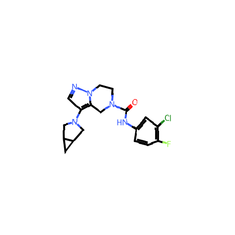 O=C(Nc1ccc(F)c(Cl)c1)N1CCn2ncc(N3CC4CC4C3)c2C1